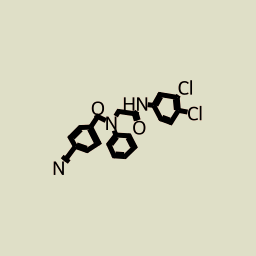 N#Cc1ccc(C(=O)N(CC(=O)Nc2ccc(Cl)c(Cl)c2)c2ccccc2)cc1